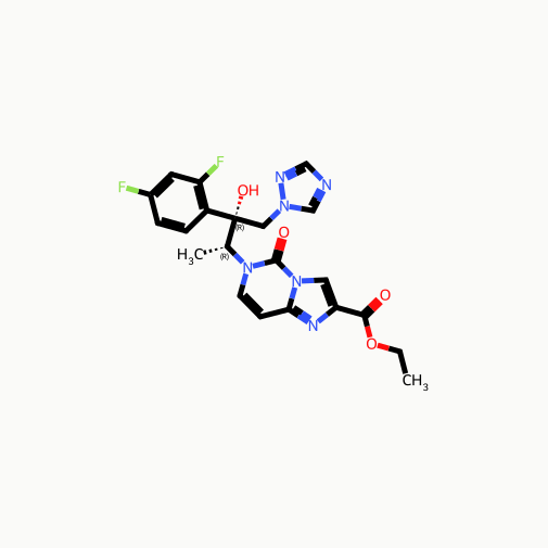 CCOC(=O)c1cn2c(=O)n([C@H](C)[C@](O)(Cn3cncn3)c3ccc(F)cc3F)ccc2n1